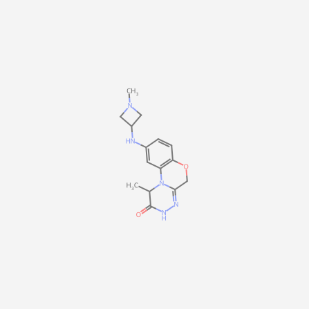 CC1C(=O)NN=C2COc3ccc(NC4CN(C)C4)cc3N21